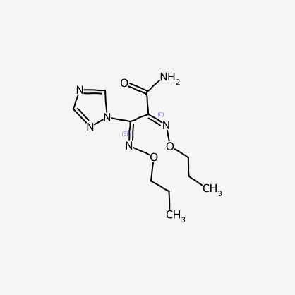 CCCO/N=C(C(N)=O)\C(=N/OCCC)n1cncn1